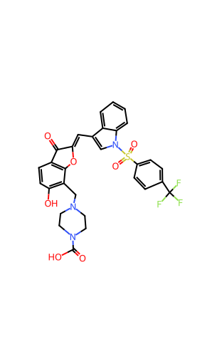 O=C1/C(=C/c2cn(S(=O)(=O)c3ccc(C(F)(F)F)cc3)c3ccccc23)Oc2c1ccc(O)c2CN1CCN(C(=O)O)CC1